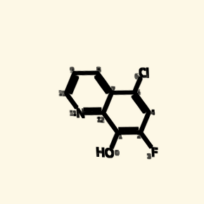 Oc1c(F)cc(Cl)c2cccnc12